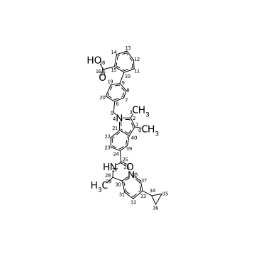 Cc1c(C)n(Cc2ccc(-c3ccccc3C(=O)O)cc2)c2ccc(C(=O)NC(C)c3ccc(C4CC4)cn3)cc12